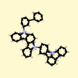 c1ccc(-c2cccc(-n3c4ccccc4c4c5c6ccccc6n(-c6ccc7c(c6)c6cccc8c9ccccc9n7c86)c5ccc43)c2)cc1